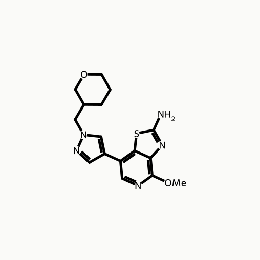 COc1ncc(-c2cnn(CC3CCCOC3)c2)c2sc(N)nc12